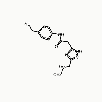 O=CNCc1n[nH]c(CC(=O)Nc2ccc(CO)cc2)n1